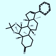 CC1(C)O[C@H]2[C@H](O1)[C@H]1CC(=O)CC[C@]1(C)[C@H]1CC[C@]3(C)C(c4ccccc4)=CC[C@H]3[C@H]21